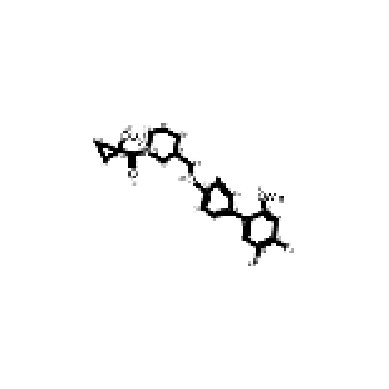 COc1cc(F)c(F)cc1-c1ccc(OCC2CCCN(C(=O)C3(C(=O)O)CC3)C2)cc1